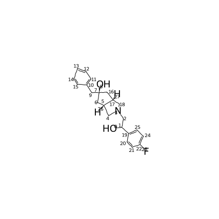 OC(CN1C[C@@H]2C[C@](O)(Cc3ccccc3)C[C@@H]2C1)c1ccc(F)cc1